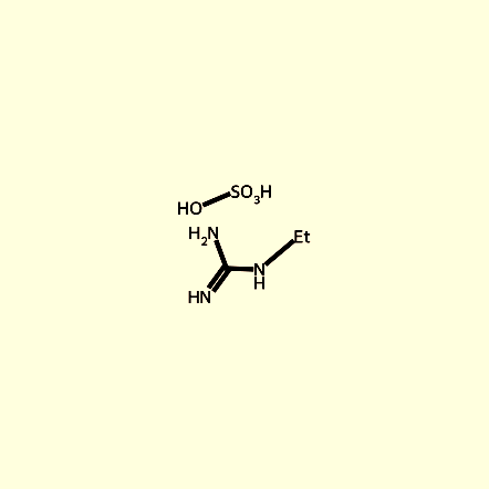 CCNC(=N)N.O=S(=O)(O)O